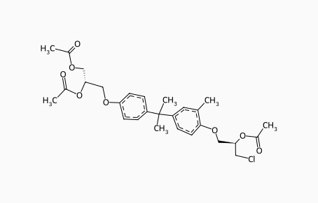 CC(=O)OC[C@H](COc1ccc(C(C)(C)c2ccc(OC[C@H](CCl)OC(C)=O)c(C)c2)cc1)OC(C)=O